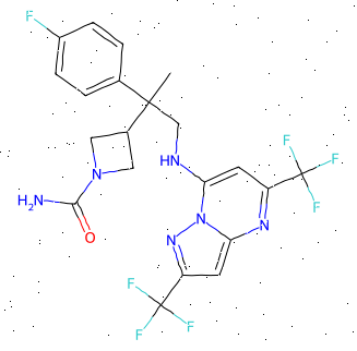 CC(CNc1cc(C(F)(F)F)nc2cc(C(F)(F)F)nn12)(c1ccc(F)cc1)C1CN(C(N)=O)C1